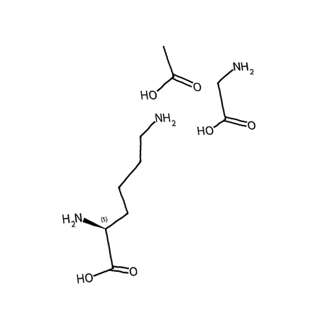 CC(=O)O.NCC(=O)O.NCCCC[C@H](N)C(=O)O